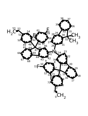 C=Cc1ccc(C2(c3ccc(F)cc3F)c3ccccc3-c3ccc(N(c4ccc5c(c4)C(C)(C)c4ccccc4-5)c4ccc5c(c4)C(c4ccc(C=C)cc4)(c4ccc(F)cc4F)c4ccccc4-5)cc32)cc1